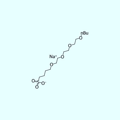 CCCCOCCOCCOCCOCCCCS(=O)(=O)[O-].[Na+]